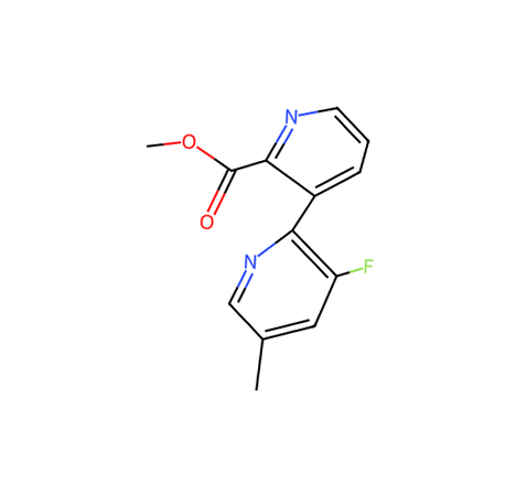 COC(=O)c1ncccc1-c1ncc(C)cc1F